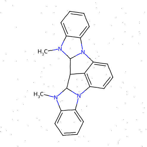 CN1c2ccccc2N2c3cccc4c3C(C12)C1N(C)c2ccccc2N41